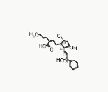 CCCCC(CC[C@@H]1[C@H](/C=C/[C@H](O)C2CCCCC2)[C@H](O)C[C@@H]1Cl)C(=O)O